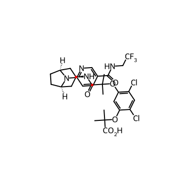 CC(C)(Oc1cc(OC(C)(C)C(=O)N[C@H]2C[C@H]3CC[C@@H](C2)N3c2ccc(C(=O)NCC(F)(F)F)cn2)c(Cl)cc1Cl)C(=O)O